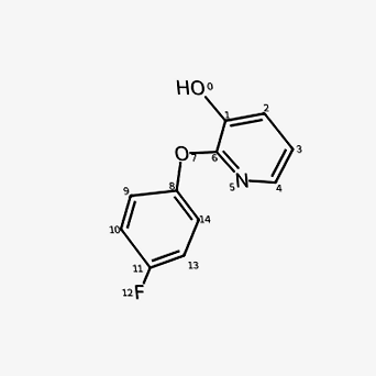 Oc1cccnc1Oc1ccc(F)cc1